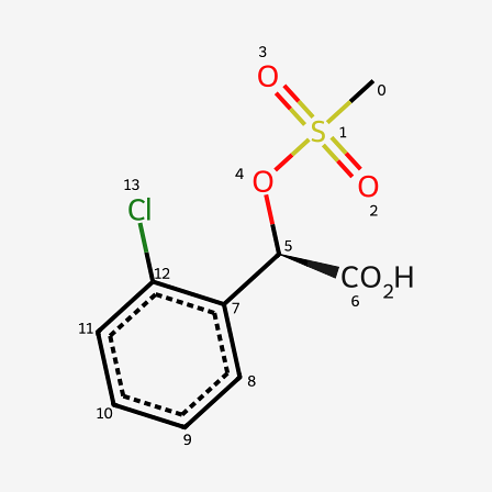 CS(=O)(=O)O[C@@H](C(=O)O)c1ccccc1Cl